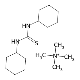 C[N+](C)(C)C.S=C(NC1CCCCC1)NC1CCCCC1